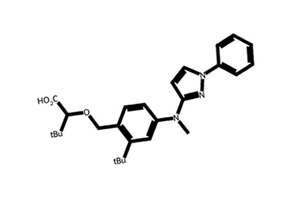 CN(c1ccc(COC(C(=O)O)C(C)(C)C)c(C(C)(C)C)c1)c1ccn(-c2ccccc2)n1